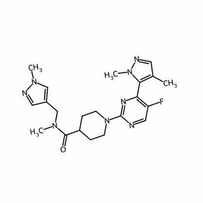 Cc1cnn(C)c1-c1nc(N2CCC(C(=O)N(C)Cc3cnn(C)c3)CC2)ncc1F